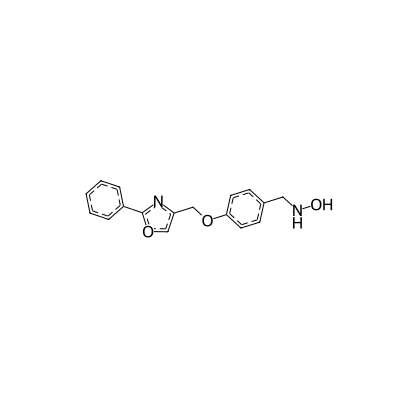 ONCc1ccc(OCc2coc(-c3ccccc3)n2)cc1